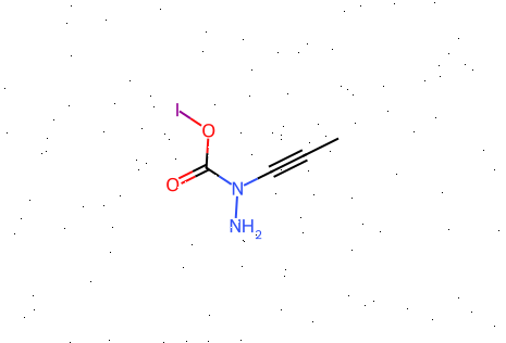 CC#CN(N)C(=O)OI